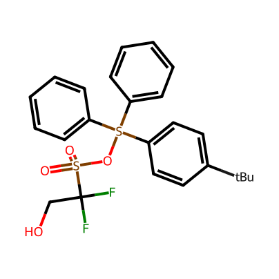 CC(C)(C)c1ccc(S(OS(=O)(=O)C(F)(F)CO)(c2ccccc2)c2ccccc2)cc1